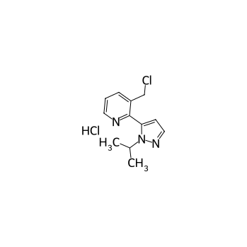 CC(C)n1nccc1-c1ncccc1CCl.Cl